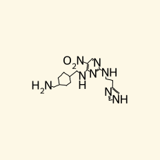 NCC1CCC(CNc2nc(NCCc3c[nH]cn3)ncc2[N+](=O)[O-])CC1